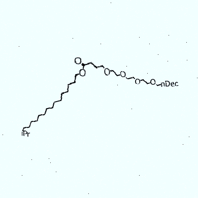 CCCCCCCCCCCOCCOCCOCCOCCCC(=O)OCCCCCCCCCCCCCCCC(C)C